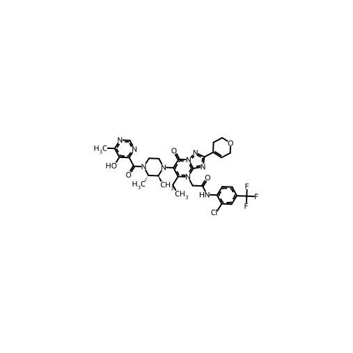 CCc1c(N2CCN(C(=O)c3ncnc(C)c3O)[C@@H](C)[C@@H]2C)c(=O)n2nc(C3=CCOCC3)nc2n1CC(=O)Nc1ccc(C(F)(F)F)cc1Cl